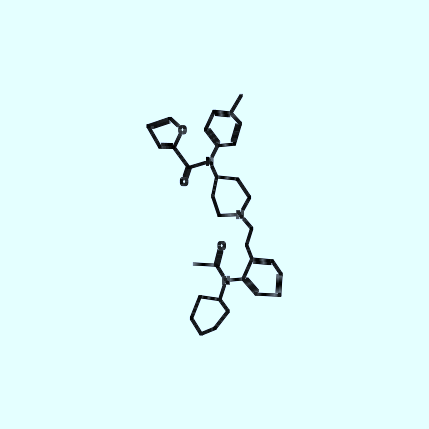 CC(=O)N(c1ccccc1CCN1CCC(N(C(=O)c2ccco2)c2ccc(C)cc2)CC1)C1CCCCC1